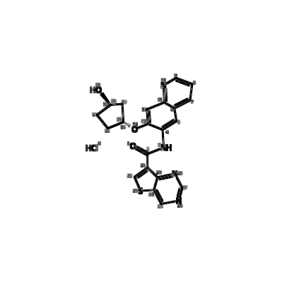 Cl.O=C(Nc1cc2cccnc2cc1O[C@@H]1CC[C@@H](O)C1)c1csc2cncnc12